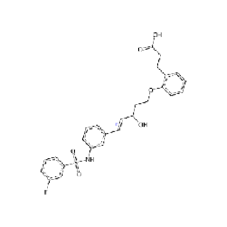 O=C(O)CCc1ccccc1OCCC(O)/C=C/c1cccc(NS(=O)(=O)c2cccc(F)c2)c1